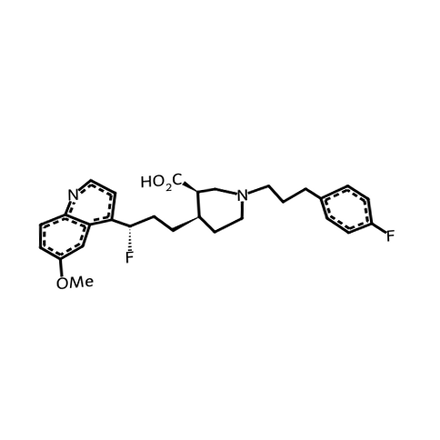 COc1ccc2nccc([C@@H](F)CC[C@@H]3CCN(CCCc4ccc(F)cc4)C[C@@H]3C(=O)O)c2c1